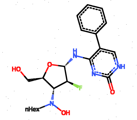 CCCCCCN(O)[C@H]1[C@H](F)[C@@H](Nc2nc(=O)[nH]cc2-c2ccccc2)O[C@@H]1CO